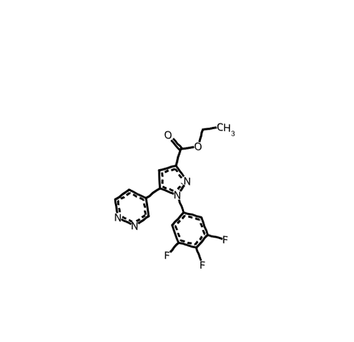 CCOC(=O)c1cc(-c2ccnnc2)n(-c2cc(F)c(F)c(F)c2)n1